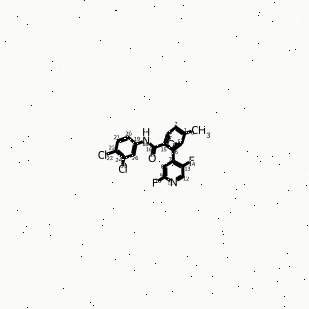 Cc1cc2oc1c(-c1cc(F)ncc1F)c2C(=O)Nc1ccc(Cl)c(Cl)c1